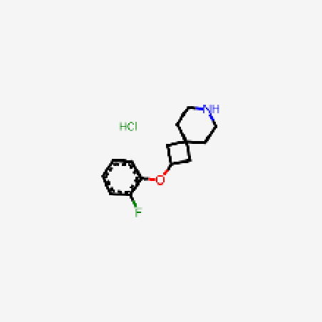 Cl.Fc1ccccc1OC1CC2(CCNCC2)C1